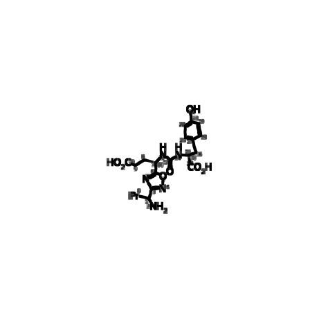 CC(C)C(N)c1noc([C@@H](CCC(=O)O)NC(=O)N[C@@H](Cc2ccc(O)cc2)C(=O)O)n1